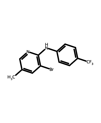 Cc1cnc(Nc2ccc(C(F)(F)F)cc2)c(Br)c1